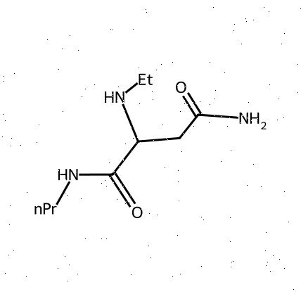 CCCNC(=O)C(CC(N)=O)NCC